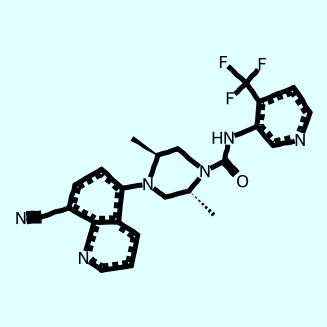 C[C@@H]1CN(c2ccc(C#N)c3ncccc23)[C@@H](C)CN1C(=O)Nc1cnccc1C(F)(F)F